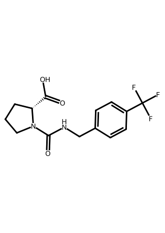 O=C(O)[C@H]1CCCN1C(=O)NCc1ccc(C(F)(F)F)cc1